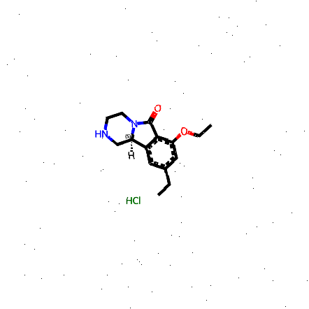 CCOc1cc(CC)cc2c1C(=O)N1CCNC[C@H]21.Cl